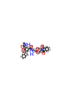 CC[C@@]1(c2ccccc2)COc2c(C(=O)NC)cc(C(=O)NCCC3OCC(N4C(=O)c5ccccc5C4=O)CO3)cc21